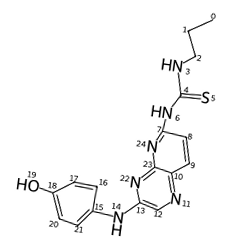 CCCNC(=S)Nc1ccc2ncc(Nc3ccc(O)cc3)nc2n1